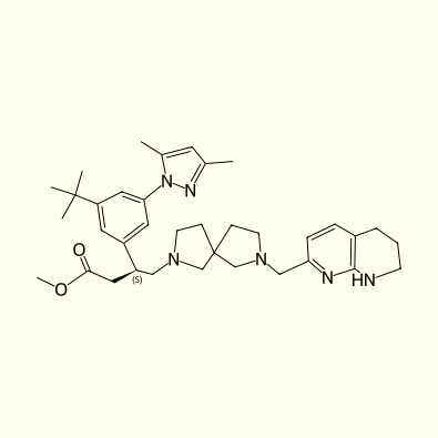 COC(=O)C[C@H](CN1CCC2(CCN(Cc3ccc4c(n3)NCCC4)C2)C1)c1cc(-n2nc(C)cc2C)cc(C(C)(C)C)c1